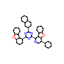 c1ccc(-c2cnc(-c3nc(-c4ccc5ccccc5c4)nc(-c4cccc5oc6ccccc6c45)n3)c3c2oc2ccccc23)cc1